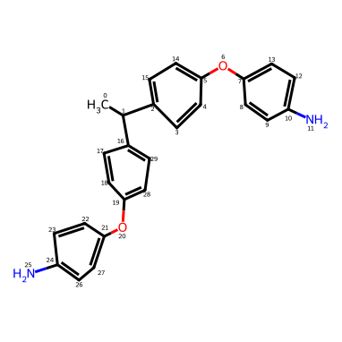 CC(c1ccc(Oc2ccc(N)cc2)cc1)c1ccc(Oc2ccc(N)cc2)cc1